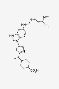 C=N/C(=C\C=N/CNc1ccc2c(-c3cnc(C(C)C4CCC(C(=O)O)CC4)s3)c[nH]c2c1)C(F)(F)F